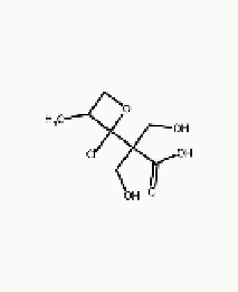 CC1COC1(Cl)C(CO)(CO)C(=O)O